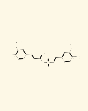 COc1cc(C=CC(=O)NS(=O)(=O)C=Cc2ccc(O)c(OC)c2)ccc1O